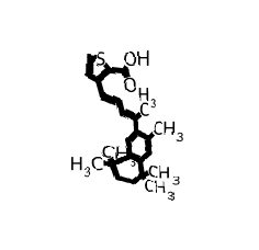 C/C(=C\C=C\c1ccsc1C(=O)O)c1cc2c(cc1C)C(C)(C)CCC2(C)C